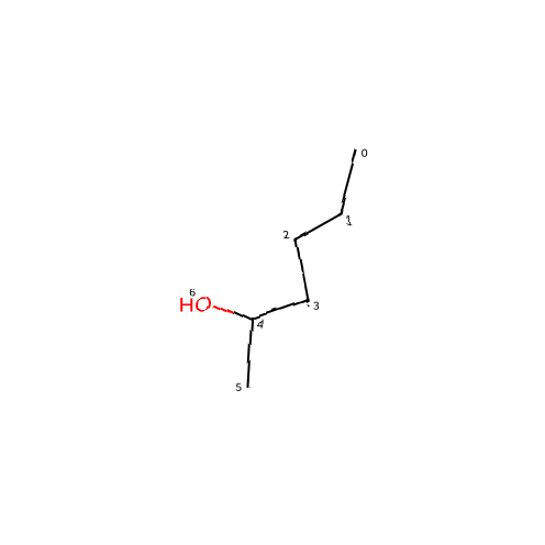 CCC[CH]C(C)O